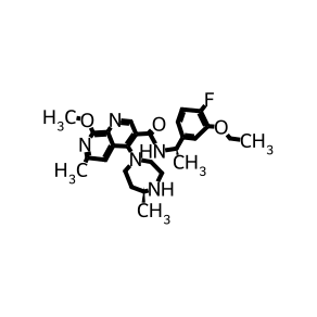 CCOc1cc([C@H](C)NC(=O)c2cnc3c(OC)nc(C)cc3c2N2CCN[C@@H](C)CC2)ccc1F